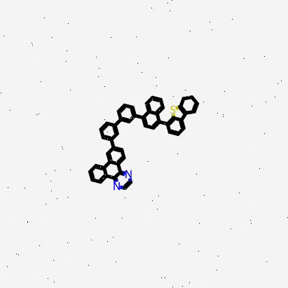 C1=Cc2c(sc3c(-c4ccc(-c5cccc(-c6cccc(-c7ccc8c(c7)c7ccccc7c7nccnc87)c6)c5)c5ccccc45)cccc23)CC1